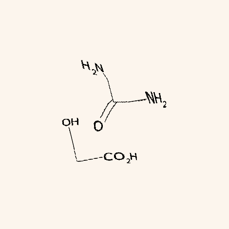 NC(N)=O.O=C(O)CO